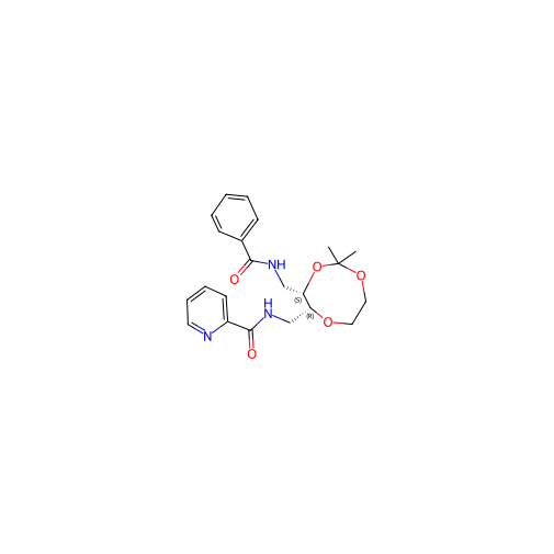 CC1(C)OCCO[C@H](CNC(=O)c2ccccn2)[C@H](CNC(=O)c2ccccc2)O1